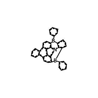 c1ccc(B2c3cccc4c3-n3c5c2ccc2c6ccccc6c6ccc(c3c6c25)B4c2ccccc2)cc1